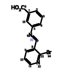 O=C(O)c1cccc(/N=C/c2cccnc2Br)c1